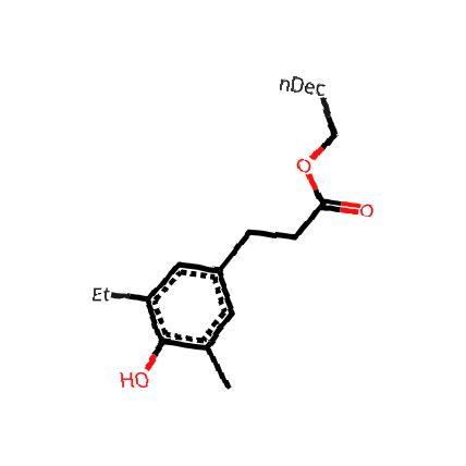 CCCCCCCCCCCOC(=O)CCc1cc(C)c(O)c(CC)c1